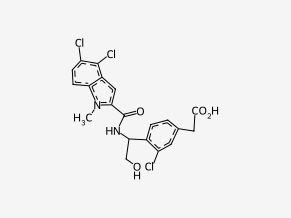 Cn1c(C(=O)NC(CO)c2ccc(CC(=O)O)cc2Cl)cc2c(Cl)c(Cl)ccc21